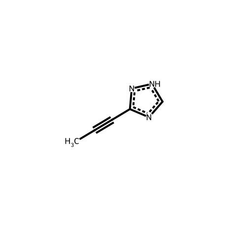 CC#Cc1nc[nH]n1